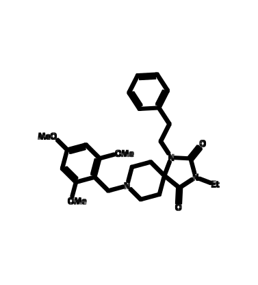 CCN1C(=O)N(CCc2ccccc2)C2(CCN(Cc3c(OC)cc(OC)cc3OC)CC2)C1=O